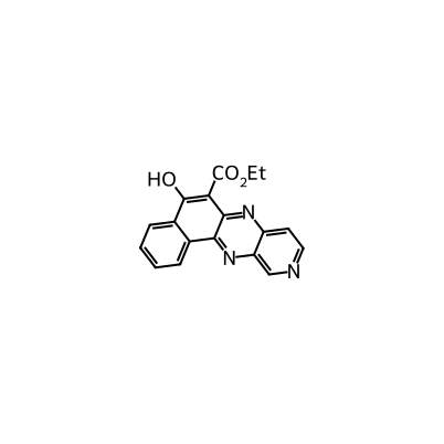 CCOC(=O)c1c(O)c2ccccc2c2nc3cnccc3nc12